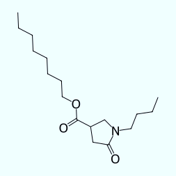 CCCCCCCCOC(=O)C1CC(=O)N(CCCC)C1